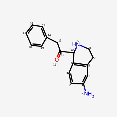 Nc1ccc2c(c1)CCNC2C(=O)Cc1ccccc1